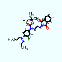 CCCN(CCC)c1ccc(N(CCCN2C(=O)c3ccccc3C2=O)C(=O)OC(C)(C)C)cc1F